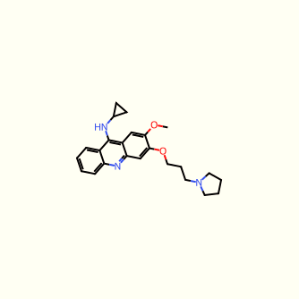 COc1cc2c(NC3CC3)c3ccccc3nc2cc1OCCCN1CCCC1